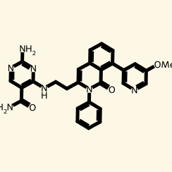 COc1cncc(-c2cccc3cc(CCNc4nc(N)ncc4C(N)=O)n(-c4ccccc4)c(=O)c23)c1